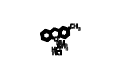 Cc1ccc2c(c1)Cc1ccccc1O2.Cl.Cl.N.N